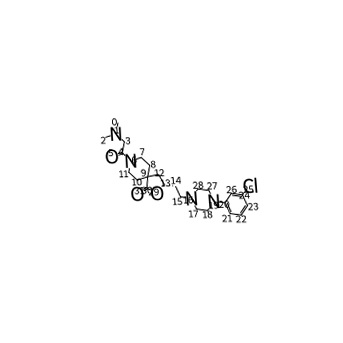 CN(C)CC(=O)N1CCC2(CC1)C[C@H](CCN1CCN(c3cccc(Cl)c3)CC1)OC2=O